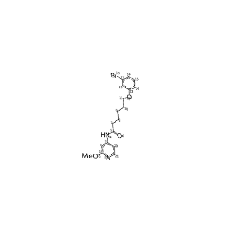 COc1cc(NC(=O)CCCCCOc2cccc(Br)c2)ccn1